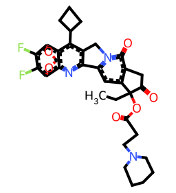 CCC1(OC(=O)CCN2CCCCC2)C(=O)Cc2c1cc1n(c2=O)Cc2c-1nc1c3c(F)c(F)c(c1c2C1CCC1)OCO3